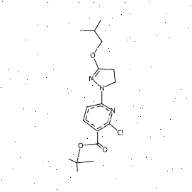 CC(C)COC1=NN(c2ccc(C(=O)OC(C)(C)C)c(Cl)n2)CC1